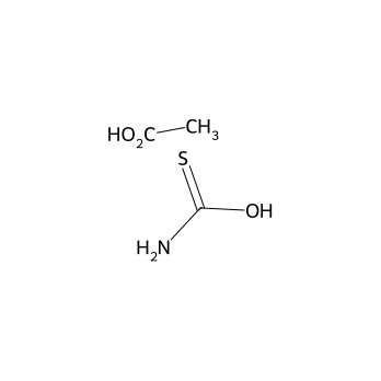 CC(=O)O.NC(O)=S